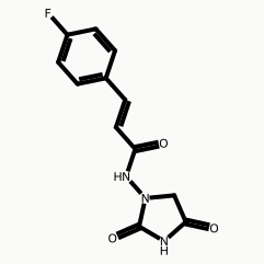 O=C(C=Cc1ccc(F)cc1)NN1CC(=O)NC1=O